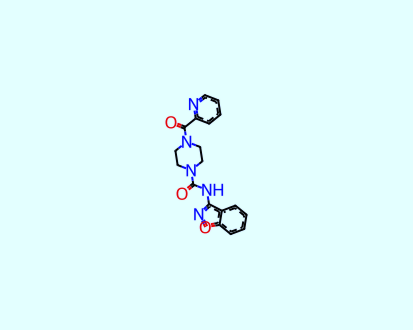 O=C(Nc1noc2ccccc12)N1CCN(C(=O)c2ccccn2)CC1